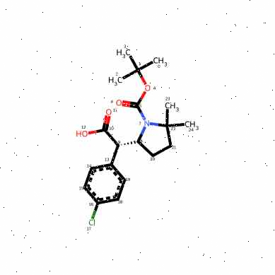 CC(C)(C)OC(=O)N1C([C@@H](C(=O)O)c2ccc(Cl)cc2)CCC1(C)C